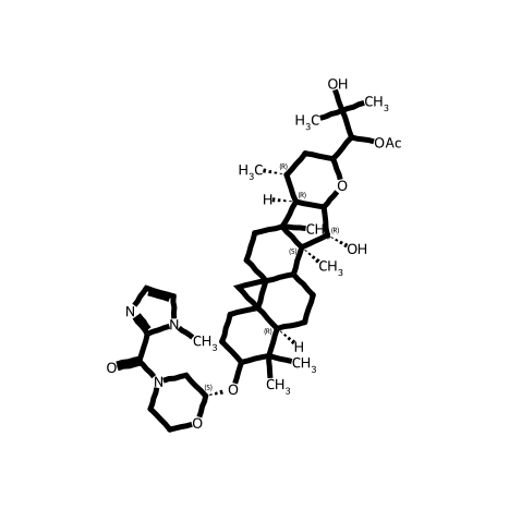 CC(=O)OC(C1C[C@@H](C)[C@H]2C(O1)[C@H](O)[C@@]1(C)C3CC[C@H]4C(C)(C)C(O[C@H]5CN(C(=O)c6nccn6C)CCO5)CCC45CC35CCC21C)C(C)(C)O